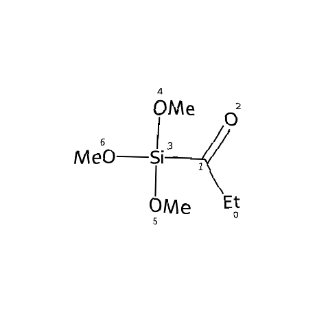 CCC(=O)[Si](OC)(OC)OC